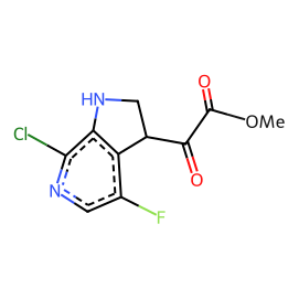 COC(=O)C(=O)C1CNc2c(Cl)ncc(F)c21